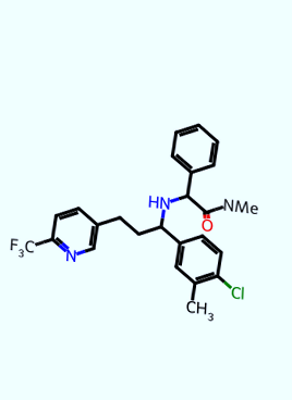 CNC(=O)C(NC(CCc1ccc(C(F)(F)F)nc1)c1ccc(Cl)c(C)c1)c1ccccc1